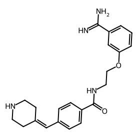 N=C(N)c1cccc(OCCNC(=O)c2ccc(C=C3CCNCC3)cc2)c1